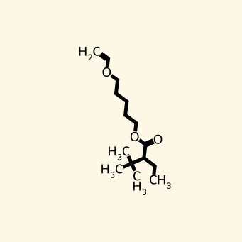 C=COCCCCCOC(=O)C(CC)C(C)(C)C